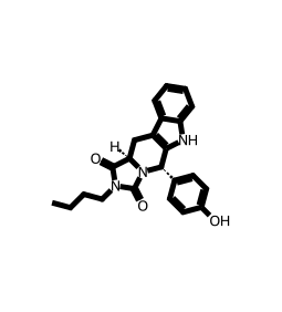 CCCCN1C(=O)[C@H]2Cc3c([nH]c4ccccc34)[C@H](c3ccc(O)cc3)N2C1=O